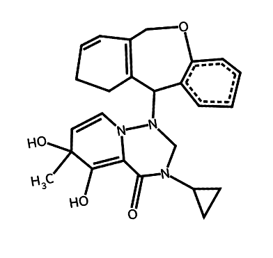 CC1(O)C=CN2C(=C1O)C(=O)N(C1CC1)CN2C1C2=C(C=CCC2)COc2ccccc21